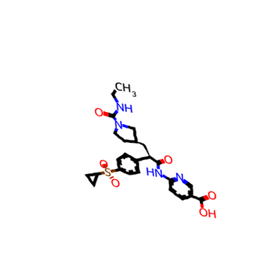 CCNC(=O)N1CC[C@H](C[C@@H](C(=O)Nc2ccc(C(=O)O)cn2)c2ccc(S(=O)(=O)C3CC3)cc2)C1